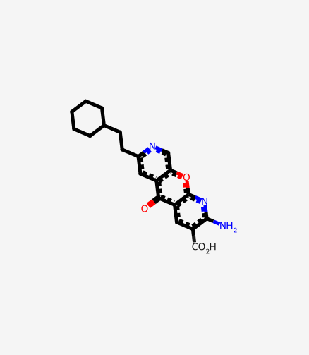 Nc1nc2oc3cnc(CCC4CCCCC4)cc3c(=O)c2cc1C(=O)O